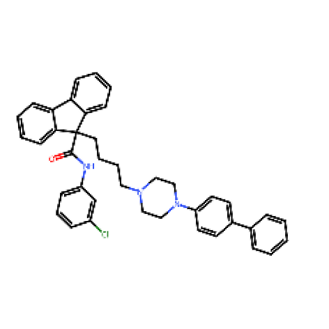 O=C(Nc1cccc(Cl)c1)C1(CCCCN2CCN(c3ccc(-c4ccccc4)cc3)CC2)c2ccccc2-c2ccccc21